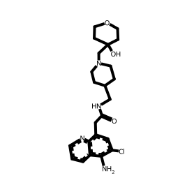 Nc1c(Cl)cc(CC(=O)NCC2CCN(CC3(O)CCOCC3)CC2)c2ncccc12